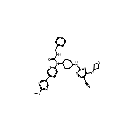 COc1ncc(-c2ccc(N(C(=O)NCc3ccccc3)C3CCC(Nc4ncc(C#N)c(OC5COC5)n4)CC3)nc2)cn1